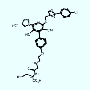 CC(C)C[C@H](NC(=O)CNCCOc1ccc(-c2c(C#N)c(SCc3csc(-c4ccc(Cl)cc4)n3)nc(N3CCCC3)c2C#N)cc1)C(=O)O.Cl